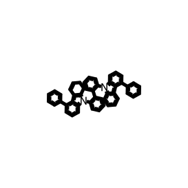 c1ccc(-n2c3ccccc3c3c(-c4ccccc4)cccc32)c(-c2ccccc2-n2c3c(c4c(-c5ccccc5)cccc42)C=CCC3)c#1